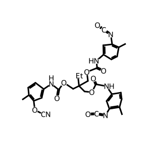 CCC(COC(=O)Nc1ccc(C)c(N=C=O)c1)(COC(=O)Nc1ccc(C)c(N=C=O)c1)COC(=O)Nc1ccc(C)c(OC#N)c1